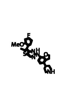 COc1cc(F)ccc1-c1c(C)sc2cnc(Nc3ccc(C4CCNCC4)c4c3OCC4)nc12